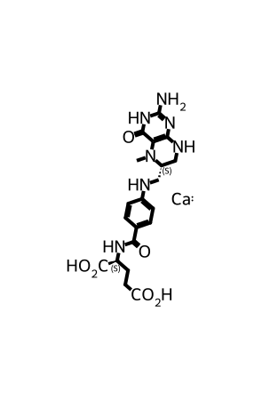 CN1c2c(nc(N)[nH]c2=O)NC[C@@H]1CNc1ccc(C(=O)N[C@@H](CCC(=O)O)C(=O)O)cc1.[Ca]